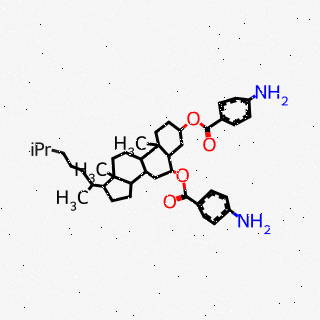 CC(C)CCCC(C)C1CCC2C3CC(OC(=O)c4ccc(N)cc4)C4CC(OC(=O)c5ccc(N)cc5)CCC4(C)C3CCC12C